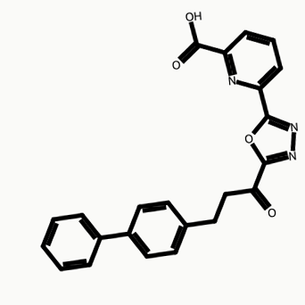 O=C(O)c1cccc(-c2nnc(C(=O)CCc3ccc(-c4ccccc4)cc3)o2)n1